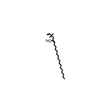 C=CC(C)(C)CC(O)=CCCCCCCCCCCCCCCCC